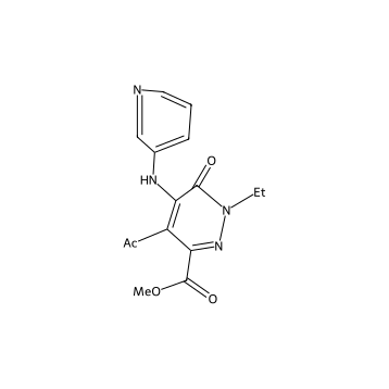 CCn1nc(C(=O)OC)c(C(C)=O)c(Nc2cccnc2)c1=O